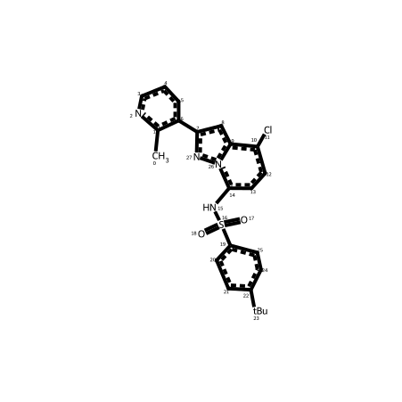 Cc1ncccc1-c1cc2c(Cl)ccc(NS(=O)(=O)c3ccc(C(C)(C)C)cc3)n2n1